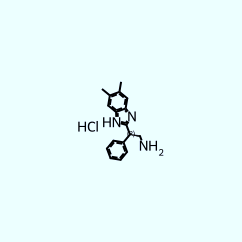 Cc1cc2nc([C@@H](CN)c3ccccc3)[nH]c2cc1C.Cl